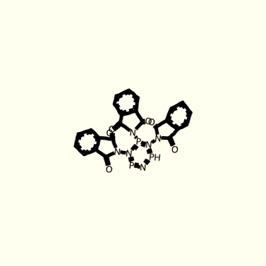 O=C1c2ccccc2C(=O)N1n1pn[pH]n(N2C(=O)c3ccccc3C2=O)p1N1C(=O)c2ccccc2C1=O